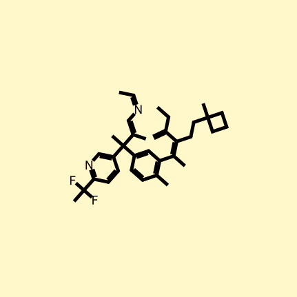 C=C(CC)/C(CCC1(C)CCC1)=C(/C)c1cc(C(C)(/C(C)=C/N=C\C)c2ccc(C(C)(F)F)nc2)ccc1C